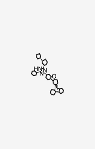 c1ccc(C2=NC(c3ccc4c(c3)oc3ccc(-n5c6ccccc6c6ccccc65)cc34)=NC(c3cccc(-c4ccccc4)c3)N2)cc1